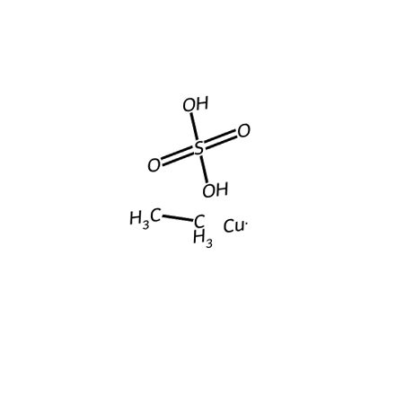 CC.O=S(=O)(O)O.[Cu]